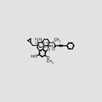 COc1cc(O)c2c3c1O[C@H]1[C@H](N(C)C(=O)C#Cc4ccccc4)CC[C@H]4[C@@H](C2)N(CC2CC2)CC[C@@]341